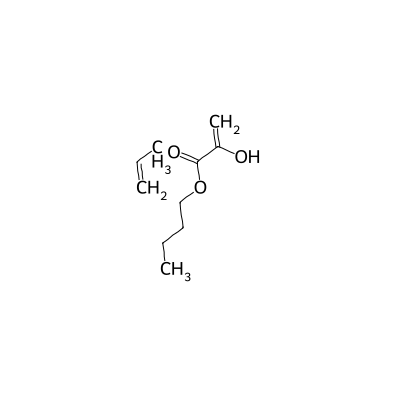 C=C(O)C(=O)OCCCC.C=CC